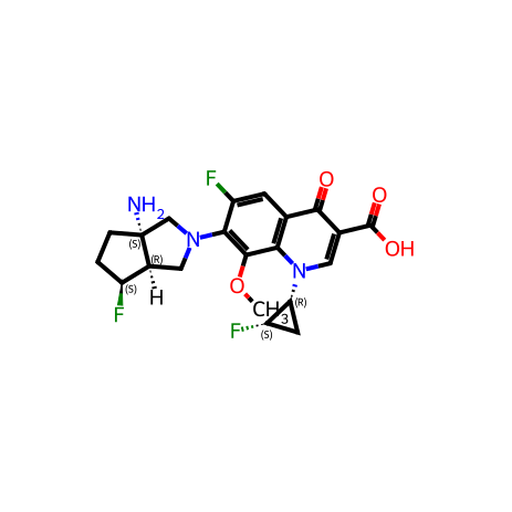 COc1c(N2C[C@H]3[C@@H](F)CC[C@@]3(N)C2)c(F)cc2c(=O)c(C(=O)O)cn([C@@H]3C[C@@H]3F)c12